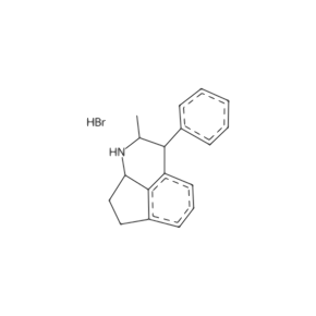 Br.CC1NC2CCc3cccc(c32)C1c1ccccc1